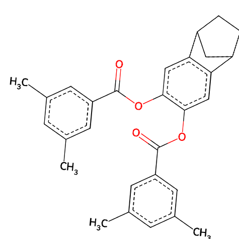 Cc1cc(C)cc(C(=O)Oc2cc3c(cc2OC(=O)c2cc(C)cc(C)c2)C2CCC3C2)c1